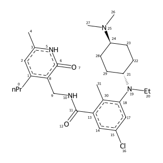 CCCc1cc(C)[nH]c(=O)c1CNC(=O)c1cc(Cl)cc(N(CC)[C@H]2CC[C@H](N(C)C)CC2)c1C